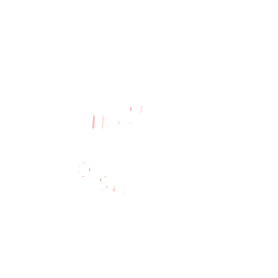 CCCC(C)(CC)C(CCS(C)(=O)=O)C(=O)O